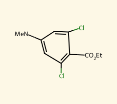 CCOC(=O)c1c(Cl)cc(NC)cc1Cl